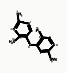 COc1cc(Oc2cnc(N)nc2N)c(C(C)C)cn1